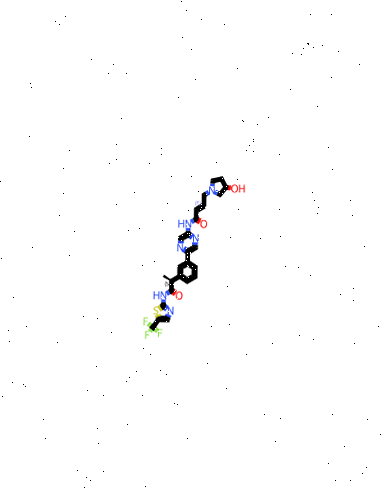 C[C@H](C(=O)Nc1ncc(C(F)(F)F)s1)c1cccc(-c2cnc(NC(=O)/C=C/CN3CCC(O)C3)cn2)c1